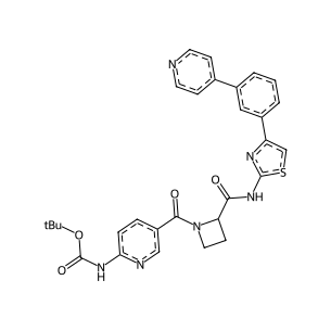 CC(C)(C)OC(=O)Nc1ccc(C(=O)N2CCC2C(=O)Nc2nc(-c3cccc(-c4ccncc4)c3)cs2)cn1